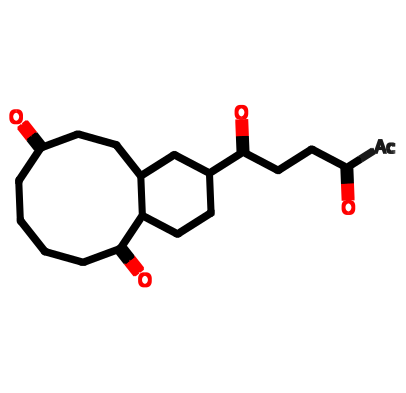 CC(=O)C(=O)CCC(=O)C1CCC2C(=O)CCCCC(=O)CCC2C1